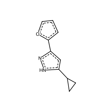 c1coc(-c2cc(C3CC3)[nH]n2)c1